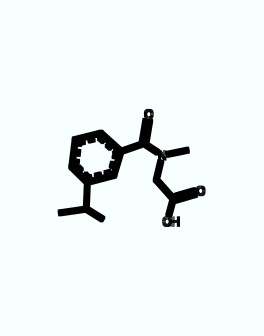 CC(C)c1cccc(C(=O)N(C)CC(=O)O)c1